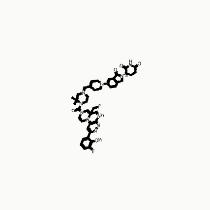 CC1(C)CN(CC2CCN(c3ccc4c(c3)C(=O)N([C@H]3CCC(=O)NC3=O)C4)CC2)CCN1C(=O)N1CCN2c3cc(-c4cccc(F)c4O)nnc3NCC2(CF)C1